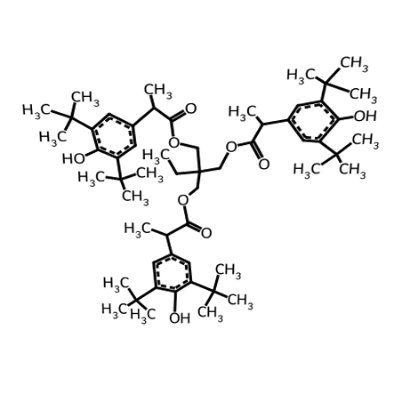 CCC(COC(=O)C(C)c1cc(C(C)(C)C)c(O)c(C(C)(C)C)c1)(COC(=O)C(C)c1cc(C(C)(C)C)c(O)c(C(C)(C)C)c1)COC(=O)C(C)c1cc(C(C)(C)C)c(O)c(C(C)(C)C)c1